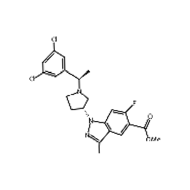 COC(=O)c1cc2c(C)nn([C@@H]3CCN([C@H](C)c4cc(Cl)cc(Cl)c4)C3)c2cc1F